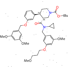 COCCCOc1cc(CN(C(=O)[C@H]2CN(C(=O)OC(C)(C)C)CC[C@@H]2c2cccc(OCc3cc(OC)cc(OC)c3)c2)C2CC2)cc(OC)c1